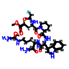 COC(=O)CC[C@H](NC(=O)CF)C(=O)N1CCCC[C@H]1C(=O)N[C@H](C(=O)N[C@@H](CCCNC(N)=O)C(N)=O)c1c[nH]c2ccccc12